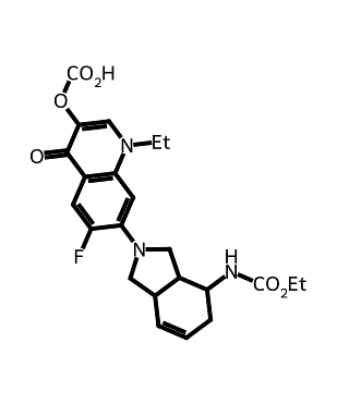 CCOC(=O)NC1CC=CC2CN(c3cc4c(cc3F)c(=O)c(OC(=O)O)cn4CC)CC21